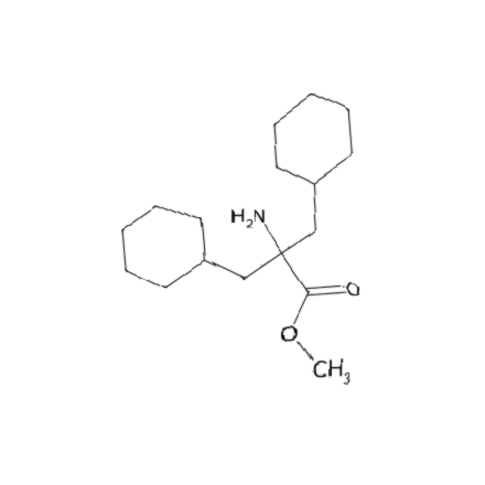 COC(=O)C(N)(CC1CCCCC1)CC1CCCCC1